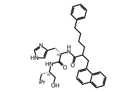 CC(C)C[C@@H](CO)NC(=O)[C@H](Cc1c[nH]cn1)NC(=O)C(CCCCc1ccccc1)Cc1cccc2ccccc12